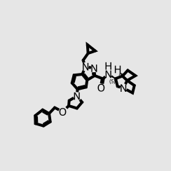 O=C(N[C@@H]1CN2CCC23CC[C@H]13)c1nn(CC2CC2)c2ccc(N3CCC(OCc4ccccc4)C3)cc12